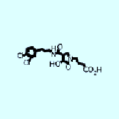 O=C(O)CCCN1CC(C(=O)NCCCc2ccc(Cl)c(Cl)c2)=C(O)C1=O